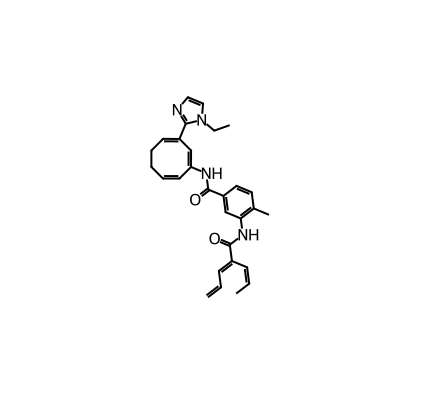 C=C/C=C(\C=C/C)C(=O)Nc1cc(C(=O)NC2=C/C(c3nccn3CC)=C\CC/C=C\2)ccc1C